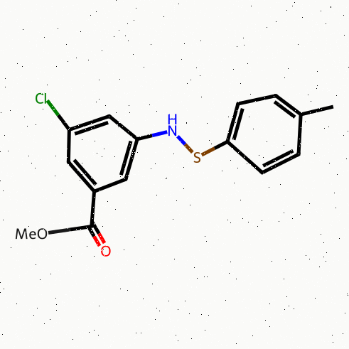 COC(=O)c1cc(Cl)cc(NSc2ccc(C)cc2)c1